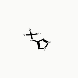 FC(F)(F)SC1=C[N]N=C1